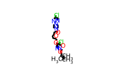 C[Si](C)(C)CCOCn1ncc(OCC2CCC(CC(=O)N3CCN(c4ncc(Cl)cn4)CC3)O2)c(Cl)c1=O